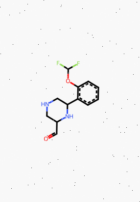 O=CC1CNCC(c2ccccc2OC(F)F)N1